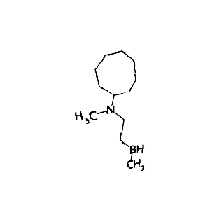 CBCCN(C)C1CCCCCCC1